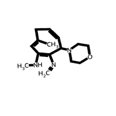 C=N/C1=C(NC)/C=C(\C)C/C=C\C1N1CCOCC1